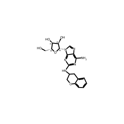 Nc1nc(NC2COc3ccccc3C2)nc2c1ncn2[C@@H]1O[C@H](CO)[C@@H](O)[C@H]1O